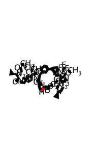 CO[C@@H](C)c1ncc(N2CCN(C3CC3)CC2)cc1-c1c2c3cc(ccc3n1CC(F)(F)F)-c1cccc(c1)C[C@H](NC(=O)[C@H](C(C)C)N1CC[C@]3(CCN(C(=O)[C@H]4[C@@H](C5CC5)N4CC(=O)N(C)C)C3)C1)C(=O)N1CCC[C@H](N1)C(=O)OCC(C)(C)C2